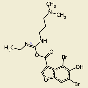 CC/N=C(/NCCCN(C)C)OC(=O)c1coc2cc(Br)c(O)c(Br)c12